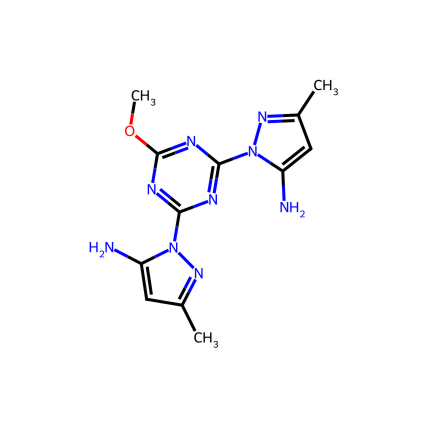 COc1nc(-n2nc(C)cc2N)nc(-n2nc(C)cc2N)n1